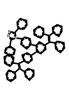 c1ccc(C(=C(c2ccccc2)c2ccc(-c3ccc(C(=C(c4ccccc4)c4ccccc4)c4ccccc4)cc3-c3ccc(-n4c(-c5ccccc5)nnc4-c4ccccc4)cc3)cc2)c2ccccc2)cc1